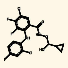 O=C(NOC(O)C1CC1)c1cc(Cl)c(F)c(F)c1Nc1ccc(I)cc1Cl